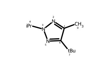 Cc1nn(C(C)C)nc1C(C)(C)C